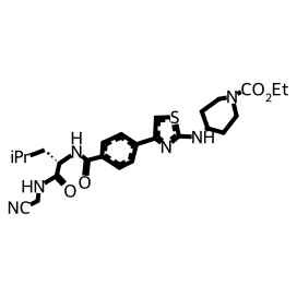 CCOC(=O)N1CCC(Nc2nc(-c3ccc(C(=O)N[C@@H](CC(C)C)C(=O)NCC#N)cc3)cs2)CC1